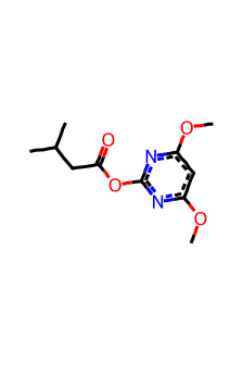 COc1cc(OC)nc(OC(=O)CC(C)C)n1